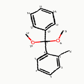 [CH2]c1ccccc1C(OC)(OC)c1ccccc1